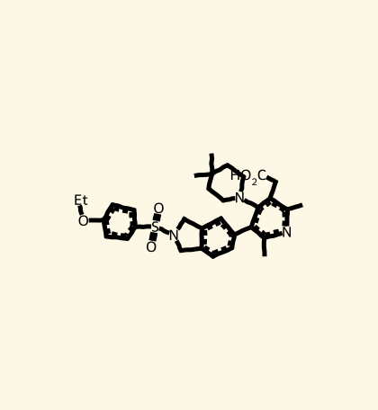 CCOc1ccc(S(=O)(=O)N2Cc3ccc(-c4c(C)nc(C)c(CC(=O)O)c4N4CCC(C)(C)CC4)cc3C2)cc1